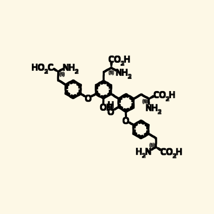 N[C@@H](Cc1ccc(Oc2cc(C[C@H](N)C(=O)O)cc(-c3cc(C[C@H](N)C(=O)O)cc(Oc4ccc(C[C@H](N)C(=O)O)cc4)c3O)c2O)cc1)C(=O)O